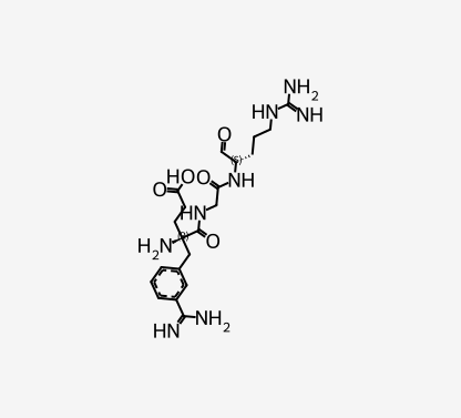 N=C(N)NCCC[C@@H](C=O)NC(=O)CNC(=O)[C@@](N)(CCC(=O)O)Cc1cccc(C(=N)N)c1